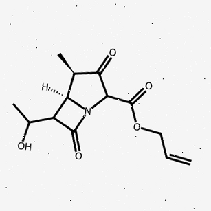 C=CCOC(=O)C1C(=O)[C@H](C)[C@@H]2C(C(C)O)C(=O)N12